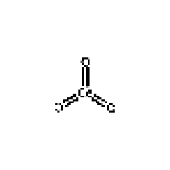 [O]=[Ce](=[O])=[O]